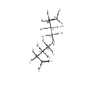 CC(F)(C(F)F)C(F)(F)C(F)(F)OC(F)(F)C(F)(F)C(C)(F)C(F)F